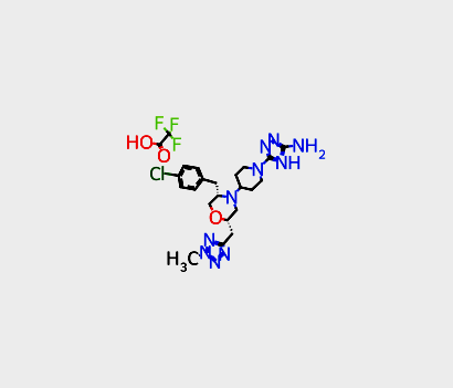 Cn1nnc(C[C@H]2CN(C3CCN(c4nnc(N)[nH]4)CC3)[C@@H](Cc3ccc(Cl)cc3)CO2)n1.O=C(O)C(F)(F)F